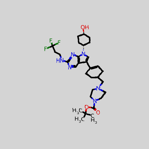 CC(C)(C)OC(=O)N1CCN(CC2CC=C(c3cn([C@H]4CC[C@H](O)CC4)c4nc(NCCC(F)(F)F)ncc34)CC2)CC1